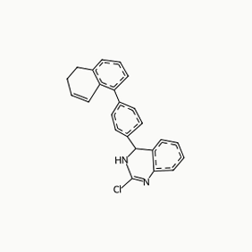 ClC1=Nc2ccccc2C(c2ccc(-c3cccc4c3C=CCC4)cc2)N1